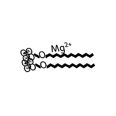 CCCCCCCCCCCCCCOCCOS(=O)(=O)[O-].CCCCCCCCCCCCCCOCCOS(=O)(=O)[O-].[Mg+2]